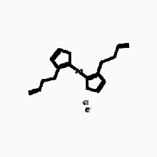 C=CCCC1=[C]([Zr+2][C]2=C(CCC=C)C=CC2)CC=C1.[Cl-].[Cl-]